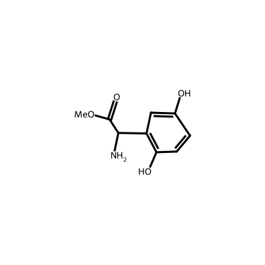 COC(=O)C(N)c1cc(O)ccc1O